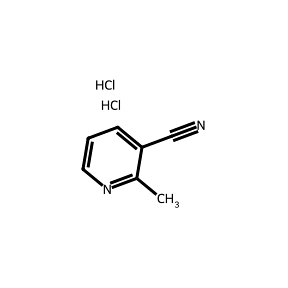 Cc1ncccc1C#N.Cl.Cl